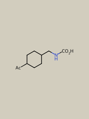 CC(=O)C1CCC(CNC(=O)O)CC1